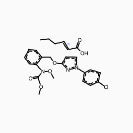 CCC/C=C/C(=O)O.COC(=O)N(OC)c1ccccc1COc1ccn(-c2ccc(Cl)cc2)n1